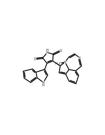 C[N+]12C=CN=CC3=CC=CC(=CC1C1=C(c4c[nH]c5ccccc45)C(=O)NC1=O)C32